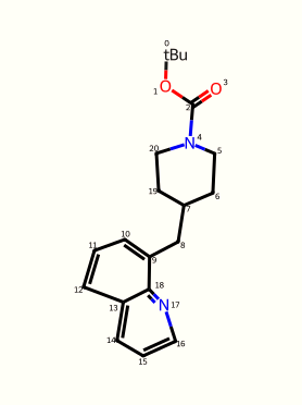 CC(C)(C)OC(=O)N1CCC(Cc2cccc3cccnc23)CC1